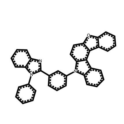 c1ccc(-n2c(-c3cccc(-n4c5ccccc5c5c6c(ccc54)oc4ccccc46)c3)nc3ccccc32)cc1